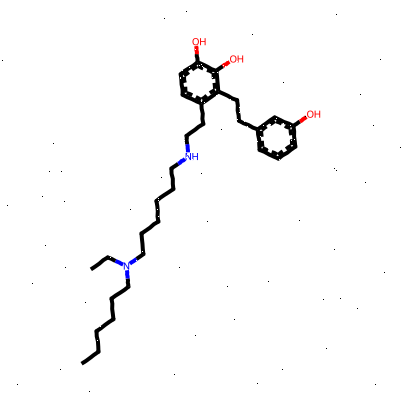 CCCCCCN(CC)CCCCCCNCCc1ccc(O)c(O)c1CCc1cccc(O)c1